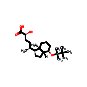 C[C@H](CC[C@@H](O)C(=O)O)[C@H]1CC[C@H]2[C@@H](O[Si](C)(C)C(C)(C)C)CCC[C@]12C